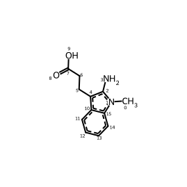 Cn1c(N)c(CCC(=O)O)c2ccccc21